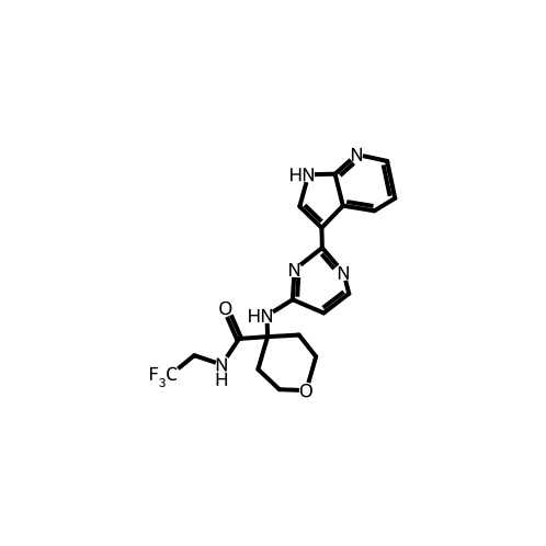 O=C(NCC(F)(F)F)C1(Nc2ccnc(-c3c[nH]c4ncccc34)n2)CCOCC1